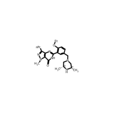 CCCc1nn(C)c2c(=O)[nH]c(-c3cc(CN4C[C@@H](C)N[C@@H](C)C4)ccc3OCC)nc12